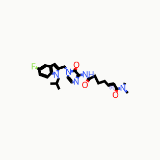 CC(C)Cn1c(Cn2ccnc(NC(=O)[CH]CC/C=C/C(=O)N(C)C)c2=O)cc2cc(F)ccc21